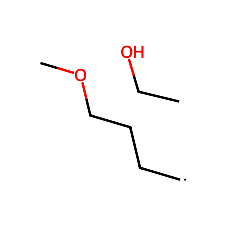 CCO.[CH2]CCCOC